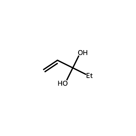 [CH2]CC(O)(O)C=C